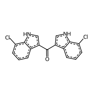 O=C(c1c[nH]c2c(Cl)cccc12)c1c[nH]c2c(Cl)cccc12